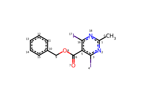 Cc1nc(I)c(C(=O)OCc2ccccc2)c(I)n1